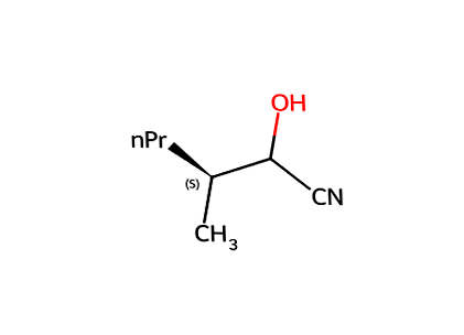 CCC[C@H](C)C(O)C#N